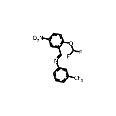 O=[N+]([O-])c1ccc(OC(F)F)c(/C=N/c2cccc(C(F)(F)F)c2)c1